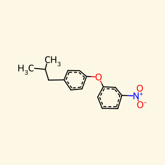 CC(C)Cc1ccc(Oc2cccc([N+](=O)[O-])c2)cc1